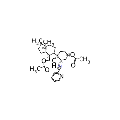 C=C1CCC2[C@H](COC(C)=O)C([C@@]3(C)CC[C@H](OC(C)=O)C[C@@H]3/C=C/c3ccccn3)CC[C@]12C